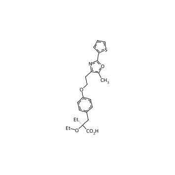 CCO[C@@](CC)(Cc1ccc(OCCc2nc(-c3cccs3)oc2C)cc1)C(=O)O